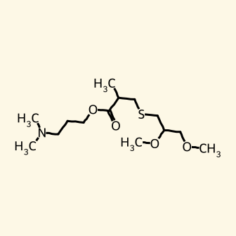 COCC(CSCC(C)C(=O)OCCCN(C)C)OC